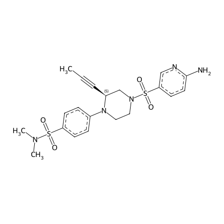 CC#C[C@H]1CN(S(=O)(=O)c2ccc(N)nc2)CCN1c1ccc(S(=O)(=O)N(C)C)cc1